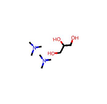 CN(C)C.CN(C)C.OCC(O)CO